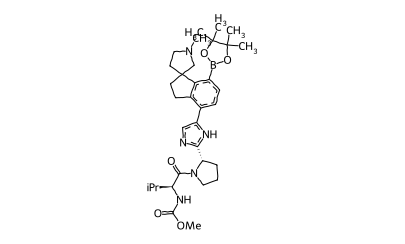 COC(=O)N[C@H](C(=O)N1CCC[C@H]1c1ncc(-c2ccc(B3OC(C)(C)C(C)(C)O3)c3c2CCC32CCN(C)C2)[nH]1)C(C)C